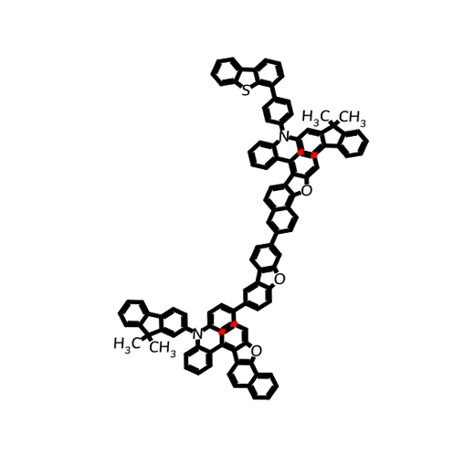 CC1(C)c2ccccc2-c2ccc(N(c3ccc(-c4ccc5oc6cc(-c7ccc8c(ccc9c8oc8cccc(-c%10ccccc%10N(c%10ccc(-c%11cccc%12c%11sc%11ccccc%11%12)cc%10)c%10ccc%11c(c%10)C(C)(C)c%10ccccc%10-%11)c89)c7)ccc6c5c4)cc3)c3ccccc3-c3cccc4oc5c6ccccc6ccc5c34)cc21